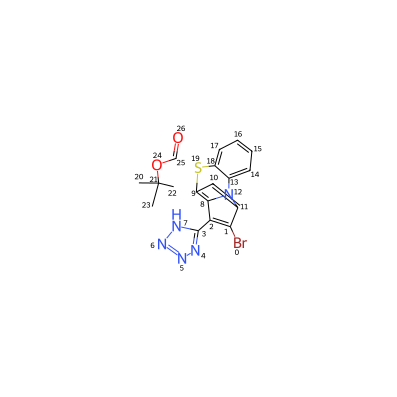 Brc1c(-c2nnn[nH]2)c2c3cc1n2-c1ccccc1S3.CC(C)(C)OC=O